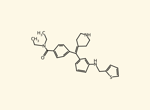 CCN(CC)C(=O)c1ccc(C(=C2CCNCC2)c2cccc(NCc3cccs3)c2)cc1